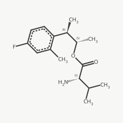 Cc1cc(F)ccc1[C@@H](C)[C@H](C)OC(=O)[C@@H](N)C(C)C